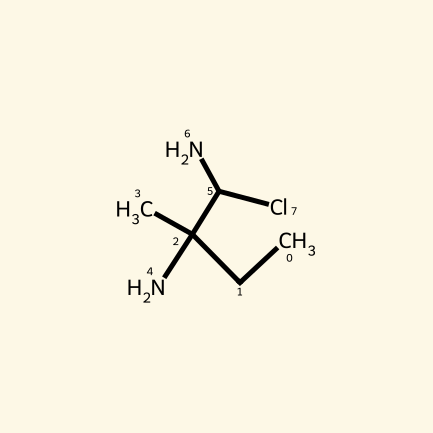 CCC(C)(N)C(N)Cl